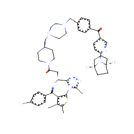 Cc1sc2c(c1C)C(c1ccc(Cl)cc1)=N[C@@H](CC(=O)N1CCC(CN3CCN(Cc4ccc(C(=O)c5ccc(N6[C@@H]7CC[C@H]6C[C@@H](N)C7)nc5)cc4)CC3)CC1)c1nnc(C)n1-2